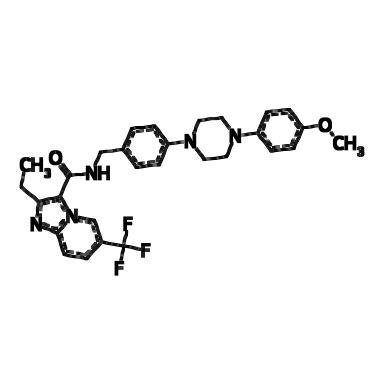 CCc1nc2ccc(C(F)(F)F)cn2c1C(=O)NCc1ccc(N2CCN(c3ccc(OC)cc3)CC2)cc1